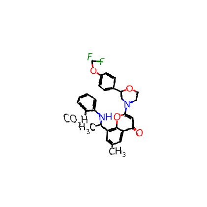 Cc1cc(C(C)Nc2ccccc2C(=O)O)c2oc(N3CCOC(c4ccc(OC(F)F)cc4)C3)cc(=O)c2c1